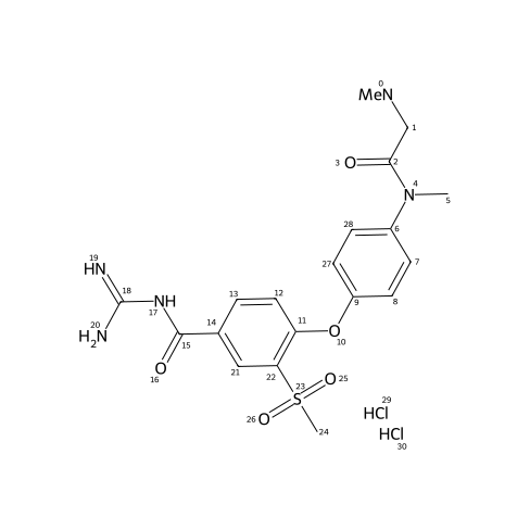 CNCC(=O)N(C)c1ccc(Oc2ccc(C(=O)NC(=N)N)cc2S(C)(=O)=O)cc1.Cl.Cl